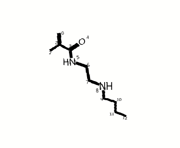 C=C(C)C(=O)NCCNCCCC